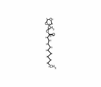 C1COCO1.CCCCCCCCCCC(=O)OC